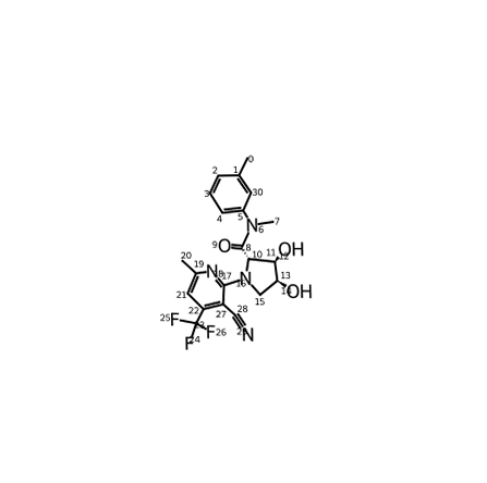 Cc1cccc(N(C)C(=O)[C@@H]2[C@@H](O)[C@@H](O)CN2c2nc(C)cc(C(F)(F)F)c2C#N)c1